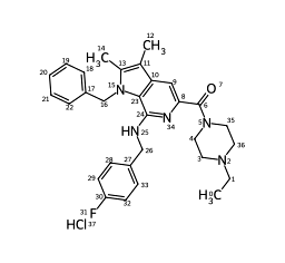 CCN1CCN(C(=O)c2cc3c(C)c(C)n(Cc4ccccc4)c3c(NCc3ccc(F)cc3)n2)CC1.Cl